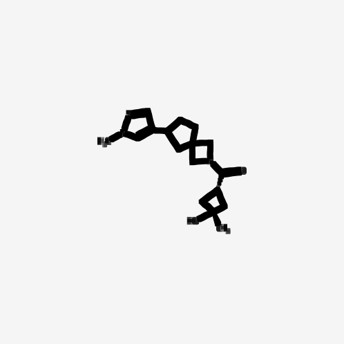 Cn1cc(C2CCC3(C2)CN(C(=O)[C@H]2C[C@@](C)(O)C2)C3)cn1